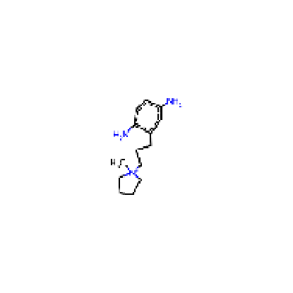 C[N+]1(CCCc2cc(N)ccc2N)CCCC1